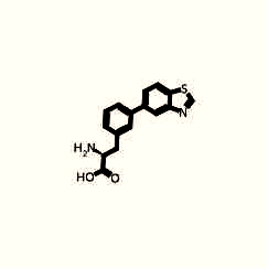 N[C@@H](Cc1cccc(-c2ccc3scnc3c2)c1)C(=O)O